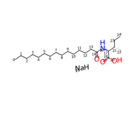 CCCCCCCCCCCCCCC(=O)N[C@H](C(=O)O)[C@@H](C)CC.[NaH]